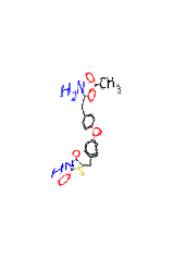 CC(=O)OC(N)Cc1ccc(Oc2ccc(CC3SC(=O)NC3=O)cc2)cc1